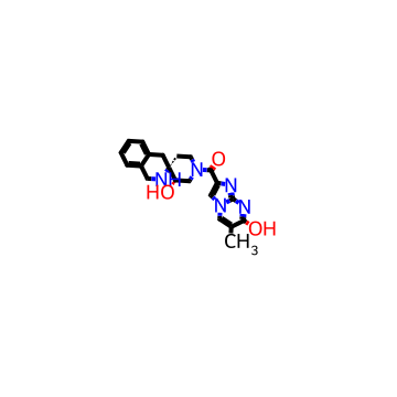 Cc1cn2cc(C(=O)N3CC[C@]4(Cc5ccccc5CN4)[C@H](O)C3)nc2nc1O